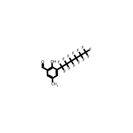 Cc1cc(C=O)c(O)c(C(F)(F)C(F)(F)C(F)(F)C(F)(F)C(F)(F)C(F)(F)F)c1